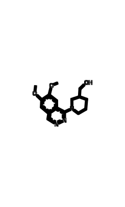 COc1cc2cnnc(N3CCCC(CO)C3)c2cc1OC